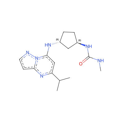 CNC(=O)N[C@@H]1CC[C@@H](Nc2cc(C(C)C)nc3ccnn23)C1